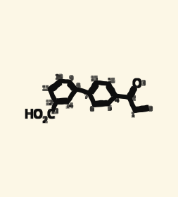 C=CC(=O)c1ccc(-c2cccc(C(=O)O)c2)cc1